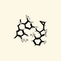 Cc1cc(CN(C)c2ccc(OCC3C(c4c(N)cccc4Cl)=NOC3C3CC3)nc2C(F)(F)F)cc(C)c1C(=O)O